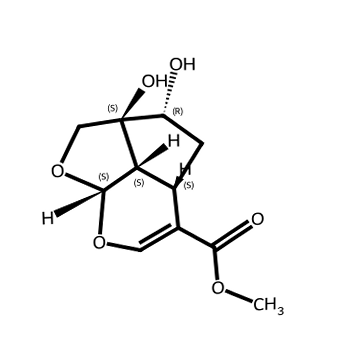 COC(=O)C1=CO[C@@H]2OC[C@@]3(O)[C@@H]2[C@@H]1C[C@H]3O